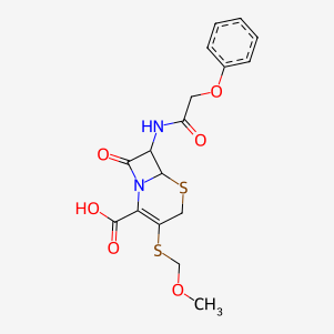 COCSC1=C(C(=O)O)N2C(=O)C(NC(=O)COc3ccccc3)C2SC1